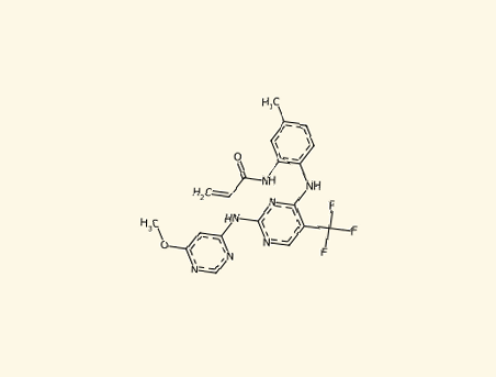 C=CC(=O)Nc1cc(C)ccc1Nc1nc(Nc2cc(OC)ncn2)ncc1C(F)(F)F